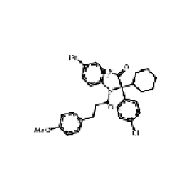 COc1ccc(CCC(=O)N(c2ccc(C(C)C)cc2)C(C(N)=O)(c2ccc(Cl)cc2)C2CCCCC2)cc1